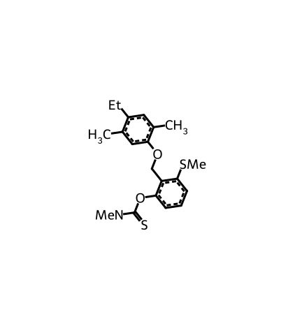 CCc1cc(C)c(OCc2c(OC(=S)NC)cccc2SC)cc1C